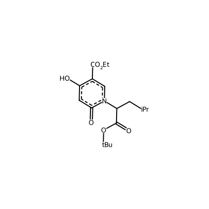 CCOC(=O)c1cn(C(CC(C)C)C(=O)OC(C)(C)C)c(=O)cc1O